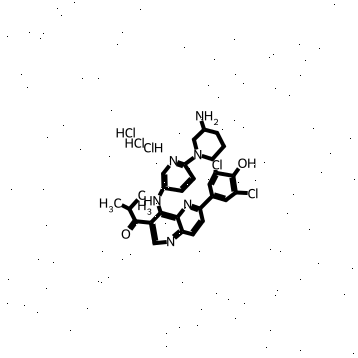 CC(C)C(=O)c1cnc2ccc(-c3cc(Cl)c(O)c(Cl)c3)nc2c1Nc1ccc(N2CCCC(N)C2)nc1.Cl.Cl.Cl